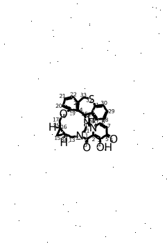 O=C1c2c(O)c(=O)ccn2N2CN1C[C@@H]1C[C@@H]1COc1cccc3c1[C@H]2c1ccccc1SC3